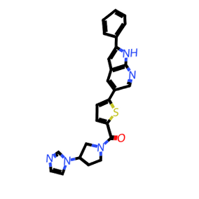 O=C(c1ccc(-c2cnc3[nH]c(-c4ccccc4)cc3c2)s1)N1CCC(n2ccnc2)C1